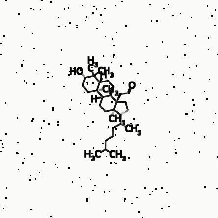 CC(C)CCC[C@@H](C)[C@H]1CC[C@@]2(CC=O)C3=CC[C@H]4C(C)(C)[C@@H](O)CC[C@]4(C)[C@H]3CC[C@]12C